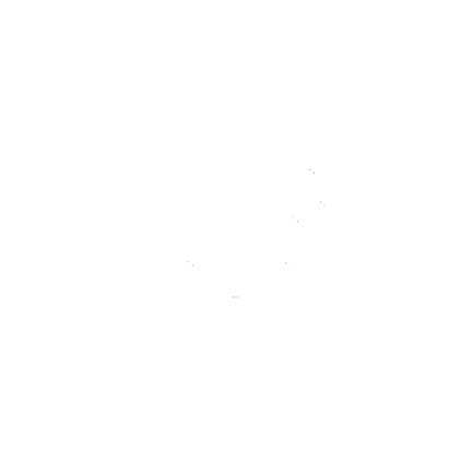 O=C(NCc1ccc(OC(F)F)cc1)c1ccc(CN2CCOc3nc([N+](=O)[O-])cn3CC2)cc1